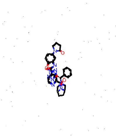 Cn1nnc([C@@H](c2ccccc2)N2CC3CCC(C2)N3C(=O)c2cc(-c3nc4cc(N5CCCC5=O)ccc4o3)ccn2)n1